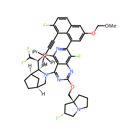 COCOc1cc(-c2nc3c4c(nc(OC[C@@]56CCCN5C[C@H](F)C6)nc4c2F)N2C[C@H]4CC[C@H](C4)[C@H]2[C@@H](C(F)F)O3)c2c(C#C[Si](C(C)C)(C(C)C)C(C)C)c(F)ccc2c1